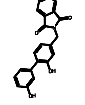 O=C1c2ccccc2C(=O)N1Cc1ccc(-c2cccc(O)c2)c(O)c1